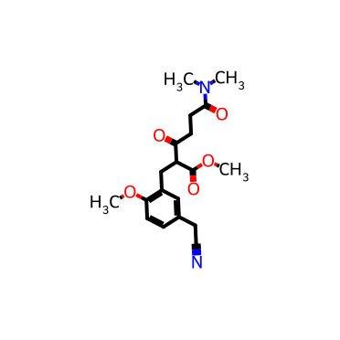 COC(=O)C(Cc1cc(CC#N)ccc1OC)C(=O)CCC(=O)N(C)C